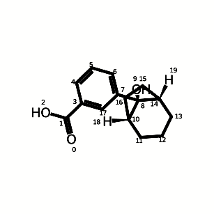 O=C(O)c1cccc([C@@]2(O)[C@@H]3CCC[C@H]2CC3)c1